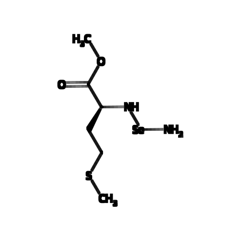 COC(=O)[C@H](CCSC)N[Se]N